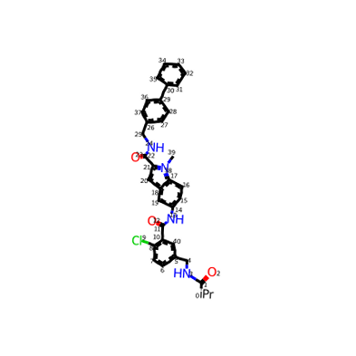 CC(C)C(=O)NCc1ccc(Cl)c(C(=O)Nc2ccc3c(c2)cc(C(=O)NCc2ccc(-c4ccccc4)cc2)n3C)c1